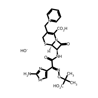 CC(C)(ON=C(C(=O)N[C@@H]1C(=O)N2C(C(=O)O)=C(C[n+]3ccccc3)CS[C@H]12)c1c[se]c(N)n1)C(=O)O.[OH-]